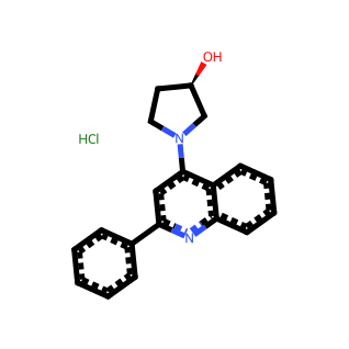 Cl.O[C@@H]1CCN(c2cc(-c3ccccc3)nc3ccccc23)C1